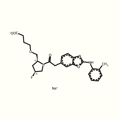 Cc1ccccc1Nc1nc2ccc(CC(=O)N3C[C@@H](F)C[C@H]3COCCCC(=O)[O-])cc2o1.[Na+]